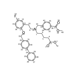 COC(=O)CCCCN(CCc1cc(F)ccc1OCc1ccc(-c2ccccc2)cc1)Cc1ccc(C(=O)OC)cc1